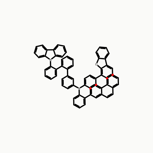 c1cc(-c2ccccc2-c2ccccc2-n2c3ccccc3c3ccccc32)cc(N(c2ccc(-c3cccc4c3oc3ccccc34)cc2)c2ccccc2-c2ccc3c(ccc4ccccc43)c2)c1